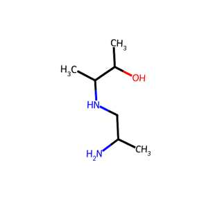 CC(N)CNC(C)C(C)O